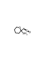 O=C=NC1([SiH3])CCCCO1